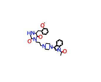 COc1ccccc1CC1NCC(=O)N(CCCN2CCN(c3cn(C(C)=O)c4ccccc34)CC2)C1=O